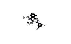 CNC(=O)/C(=N/OC)c1cccc(C)c1CO/N=C(\C)c1cc(Br)cc(Br)c1